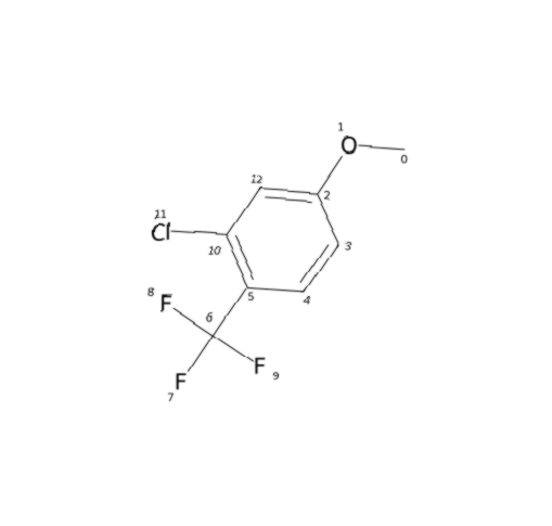 COc1ccc(C(F)(F)F)c(Cl)c1